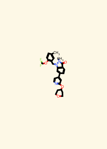 Cc1ccc(OC(F)F)c(Cn2c3cc(-c4ccnc(OC5CCOCC5)c4)ccc3c(=O)n2C)c1